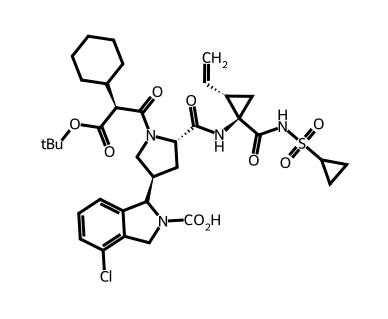 C=C[C@@H]1C[C@]1(NC(=O)[C@@H]1C[C@@H](C2c3cccc(Cl)c3CN2C(=O)O)CN1C(=O)[C@@H](C(=O)OC(C)(C)C)C1CCCCC1)C(=O)NS(=O)(=O)C1CC1